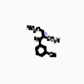 N#Cc1cccc(N/C(=C\C(=O)O)C(=O)O)c1